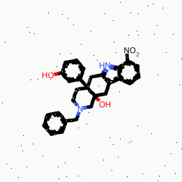 O=[N+]([O-])c1cccc2c3c([nH]c12)CC1(c2cccc(O)c2)CCN(Cc2ccccc2)CC1(O)C3